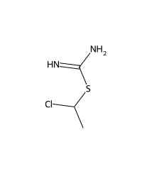 CC(Cl)SC(=N)N